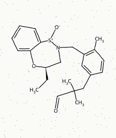 CC[C@@H]1CN(Cc2cc(CC(C)(C)C=O)ccc2C)[S+]([O-])c2ccccc2O1